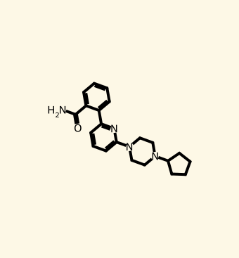 NC(=O)c1ccccc1-c1cccc(N2CCN(C3CCCC3)CC2)n1